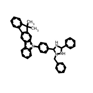 CC1(C)c2ccccc2-c2cc3c4ccccc4n(-c4ccc(C5NC(c6ccccc6)NN5Cc5ccccc5)cc4)c3cc21